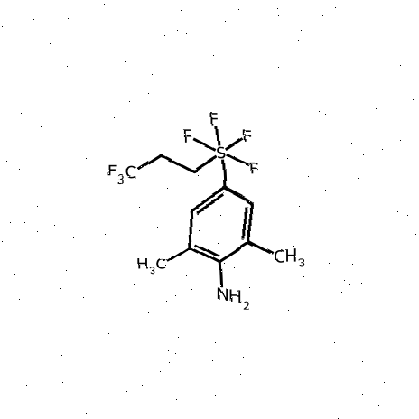 Cc1cc(S(F)(F)(F)(F)CCC(F)(F)F)cc(C)c1N